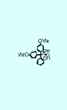 COc1ccc(C(c2ccccc2)(c2ccc(OC)cc2)P(=O)(O)O)cc1